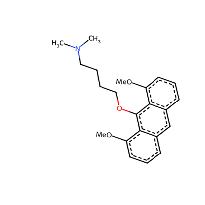 COc1cccc2cc3cccc(OC)c3c(OCCCCN(C)C)c12